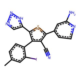 Cc1ccc(-c2c(-c3cnn[nH]3)sc(-c3ccnc(N)c3)c2C#N)c(I)c1